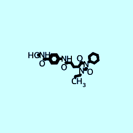 CCCN1C(=O)N(C2CCCCC2)C(=O)C1CCC(=O)Nc1ccc(C(=O)NO)cc1